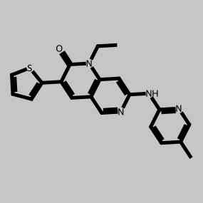 CCn1c(=O)c(-c2cccs2)cc2cnc(Nc3ccc(C)cn3)cc21